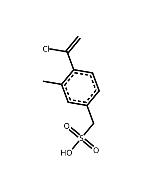 C=C(Cl)c1ccc(CS(=O)(=O)O)cc1C